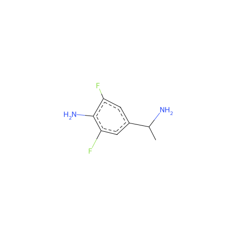 CC(N)c1cc(F)c(N)c(F)c1